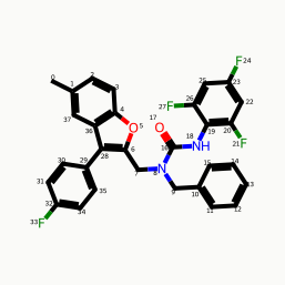 Cc1ccc2oc(CN(Cc3ccccc3)C(=O)Nc3c(F)cc(F)cc3F)c(-c3ccc(F)cc3)c2c1